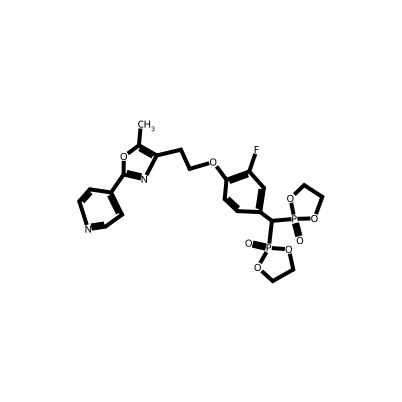 Cc1oc(-c2ccncc2)nc1CCOc1ccc(C(P2(=O)OCCO2)P2(=O)OCCO2)cc1F